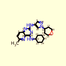 Cc1ccc2nc(Nc3cnn(C4CCOCC4)c3)nc(NC3CCCCC3)c2n1